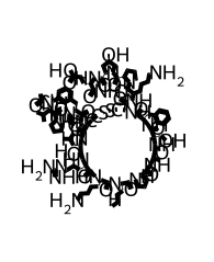 CCCC[C@@H]1NC(=O)[C@H](CCCCN)NC(=O)[C@H](CCCNC(=N)N)NC(=O)[C@H](CC(C)C)NC(=O)C(NC(=O)[C@H](Cc2cccc(Cl)c2)NC(=O)[C@@H]2CCCN2C(=O)[C@@H](NC(C)=O)C(C)C)CCSSC[C@@H](C(=O)NC(CCCCN)C(=O)N2CCC[C@H]2C(=O)N2C[C@H](O)C[C@H]2C(=O)N[C@@H](CCC(=O)O)C(N)=O)NC(=O)[C@H](Cc2ccccc2)NC(=O)[C@H](CO)NC(=O)C(C)NC(=O)[C@@H]2CCCN2C1=O